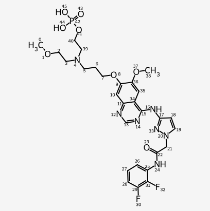 COCCN(CCCOc1cc2ncnc(Nc3ccn(CC(=O)Nc4cccc(F)c4F)n3)c2cc1OC)CCOP(=O)(O)O